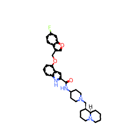 O=C(NC1CCN(C[C@@H]2CCCN3CCCC[C@H]23)CC1)c1cc2c(OCc3coc4cc(F)ccc34)cccc2[nH]1